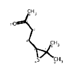 CC(=O)CCC1SC1(C)C